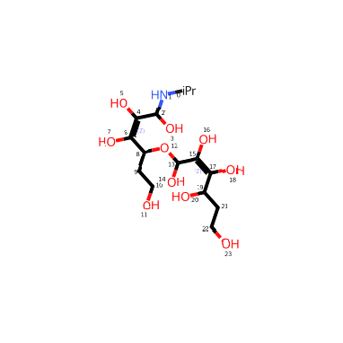 CC(C)NC(O)/C(O)=C(/O)C(CCO)OC(O)/C(O)=C(/O)C(O)CCO